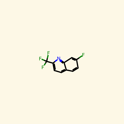 Fc1ccc2ccc(C(F)(F)F)nc2c1